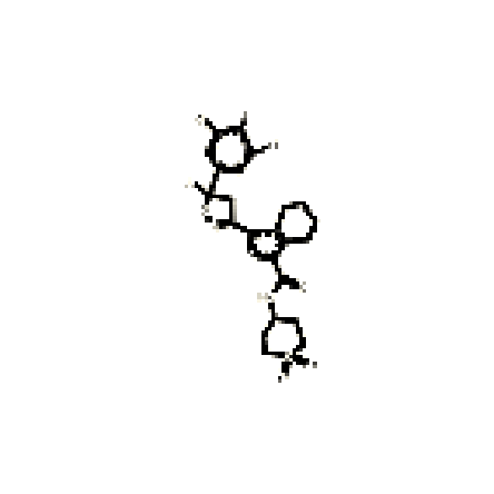 O=C(NC1CCS(=O)(=O)CC1)c1sc(C2=NOC(c3cc(Cl)c(F)c(Cl)c3)(C(F)(F)F)C2)c2c1CCCC2